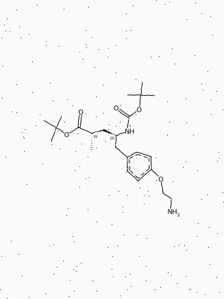 C[C@@H](C[C@H](Cc1ccc(OCCN)cc1)NC(=O)OC(C)(C)C)C(=O)OC(C)(C)C